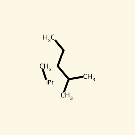 CC(C)C.CCCC(C)C